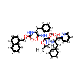 CC(C)O[C@H](NC(=O)[C@H](Cc1ccccc1)NC(=O)OCc1cccc2ccccc12)C(=O)NC(CC1CCCCC1)[C@@H](O)c1ccccn1